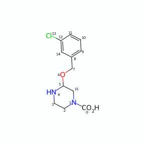 O=C(O)N1CCNC(OCc2cccc(Cl)c2)C1